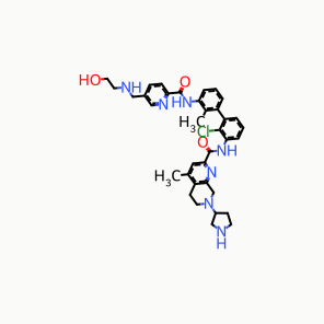 Cc1cc(C(=O)Nc2cccc(-c3cccc(NC(=O)c4ccc(CNCCO)cn4)c3C)c2Cl)nc2c1CCN(C1CCNC1)C2